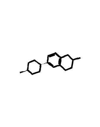 CC1CCc2cc([C@H]3CC[C@H](C)CC3)ccc2C1